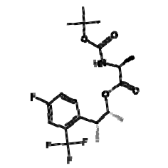 C[C@H](NC(=O)OC(C)(C)C)C(=O)O[C@H](C)[C@H](C)c1ccc(F)cc1C(F)(F)F